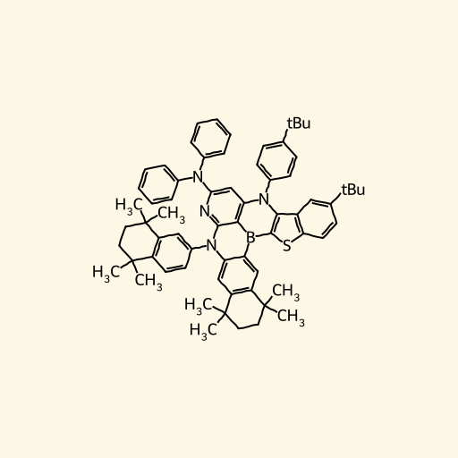 CC(C)(C)c1ccc(N2c3cc(N(c4ccccc4)c4ccccc4)nc4c3B(c3cc5c(cc3N4c3ccc4c(c3)C(C)(C)CCC4(C)C)C(C)(C)CCC5(C)C)c3sc4ccc(C(C)(C)C)cc4c32)cc1